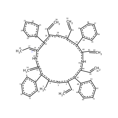 C=Cc1nc(C)c(-c2ccccc2)c(=C)[nH]/c(=C\C)c(-c2ccccc2)c(C=C)nc(C=C)c(-c2ccccc2)c(C=C)[nH]c(C=C)c1-c1ccccc1